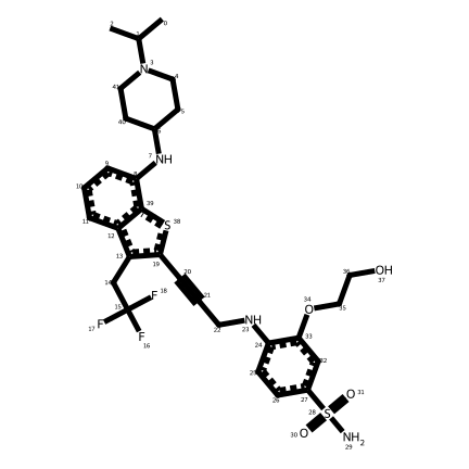 CC(C)N1CCC(Nc2cccc3c(CC(F)(F)F)c(C#CCNc4ccc(S(N)(=O)=O)cc4OCCO)sc23)CC1